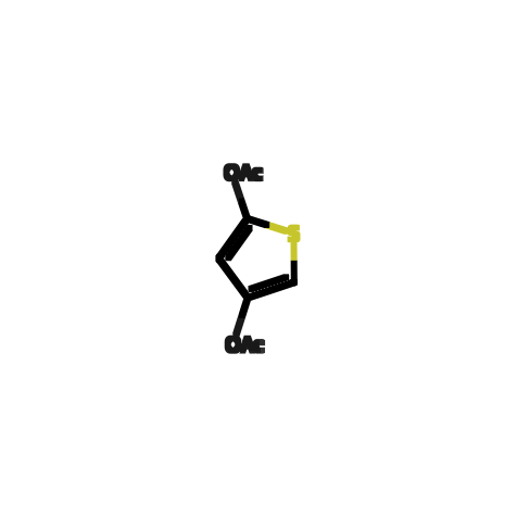 CC(=O)Oc1csc(OC(C)=O)c1